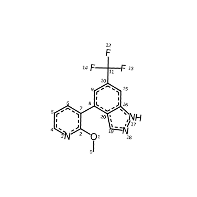 COc1ncccc1-c1cc(C(F)(F)F)cc2[nH]ncc12